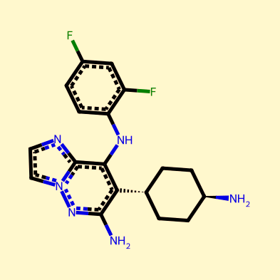 Nc1nn2ccnc2c(Nc2ccc(F)cc2F)c1[C@H]1CC[C@H](N)CC1